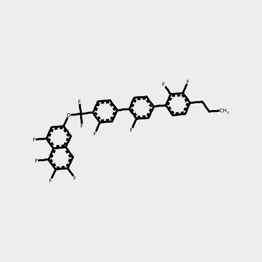 CCCc1ccc(-c2ccc(-c3ccc(C(F)(F)Oc4cc(F)c5c(F)c(F)c(F)cc5c4)c(F)c3)c(F)c2)c(F)c1F